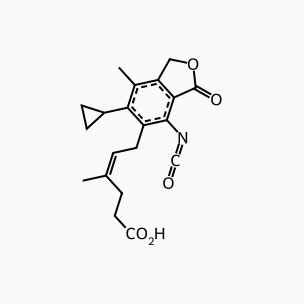 CC(=CCc1c(N=C=O)c2c(c(C)c1C1CC1)COC2=O)CCC(=O)O